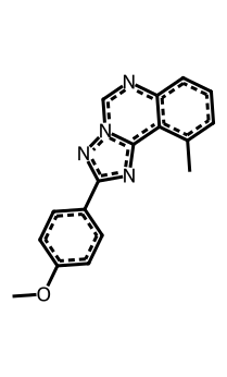 COc1ccc(-c2nc3c4c(C)cccc4ncn3n2)cc1